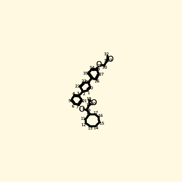 C1=CC(c2cccc(OC(C3CCCCCCC3)C3CO3)c2)C=CC1c1ccc(OCC2CO2)cc1